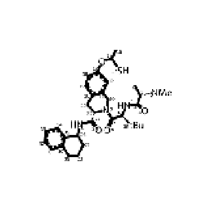 CN[C@@H](C)C(=O)N[C@H](C(=O)N1Cc2cc(OC(C)S)ccc2C[C@H]1C(=O)NC1CCCc2ccccc21)C(C)(C)C